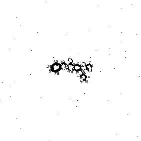 O=c1c2cc(OC3CCOC3)c(OC3CCOC3)cc2ncn1Cc1ccccc1